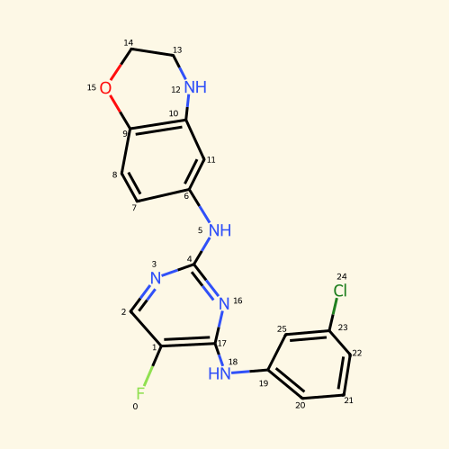 Fc1cnc(Nc2ccc3c(c2)NCCO3)nc1Nc1cccc(Cl)c1